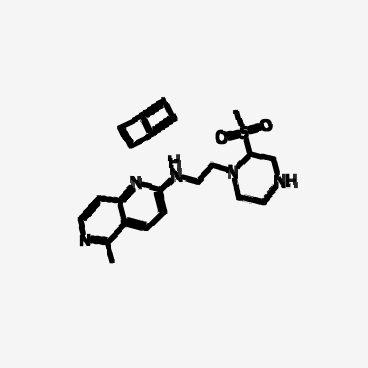 Cc1nccc2nc(NCCN3CCNCC3S(C)(=O)=O)ccc12.c1cc2ccc1-2